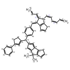 C=C/C=C\C=C/n1c2c(c(=Cc3ccc(N(C4=C=C5C(=C4)C(C)(C)C4=C5CC=C4)C4=C=C(c5ccccc5)CC4)cc3)/c1=C\C=C)C=CC2